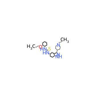 CCCOc1ccccc1NC(=S)Nc1ccc2[nH]nc(C3CCN(CCC)CC3)c2c1